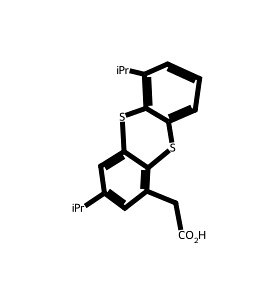 CC(C)c1cc(CC(=O)O)c2c(c1)Sc1c(cccc1C(C)C)S2